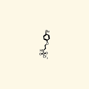 CCC(C)c1ccc(OCCNS(=O)(=O)C(F)(F)F)cc1